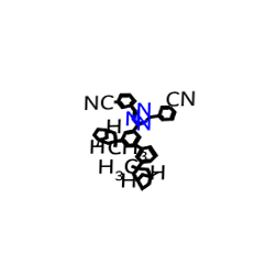 CC1(c2cccc(-c3cc(-c4nc(-c5cccc(C#N)c5)nc(-c5cccc(C#N)c5)n4)cc(C4(C)C[C@@H]5CC[C@@H](C5)C4)c3)c2)C[C@@H]2CC[C@@H](C2)C1